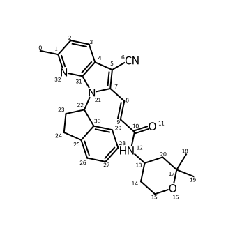 Cc1ccc2c(C#N)c(C=CC(=O)NC3CCOC(C)(C)C3)n(C3CCc4ccccc43)c2n1